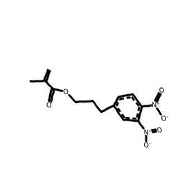 C=C(C)C(=O)OCCCc1ccc([N+](=O)[O-])c([N+](=O)[O-])c1